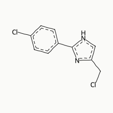 ClCc1c[nH]c(-c2ccc(Cl)cc2)n1